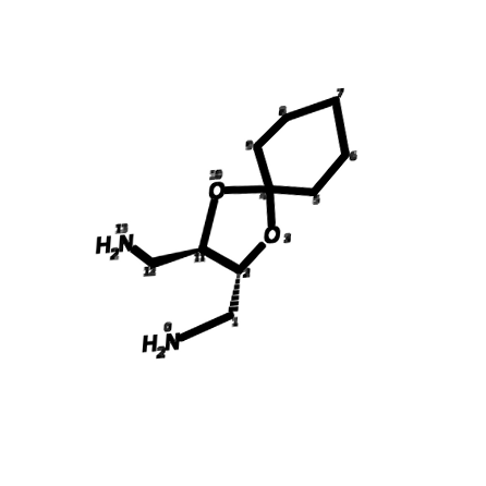 NC[C@H]1OC2(CCCCC2)O[C@@H]1CN